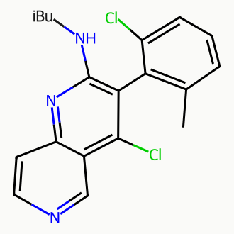 CCC(C)Nc1nc2ccncc2c(Cl)c1-c1c(C)cccc1Cl